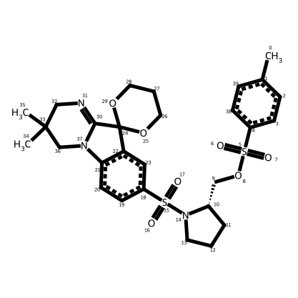 Cc1ccc(S(=O)(=O)OC[C@@H]2CCCN2S(=O)(=O)c2ccc3c(c2)C2(OCCCO2)C2=NCC(C)(C)CN23)cc1